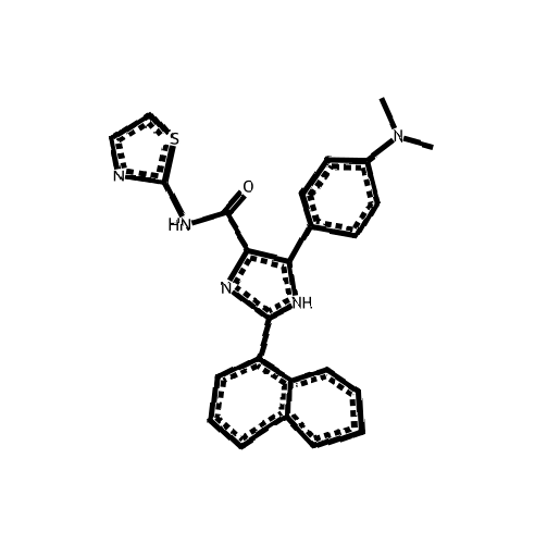 CN(C)c1ccc(-c2[nH]c(-c3cccc4ccccc34)nc2C(=O)Nc2nccs2)cc1